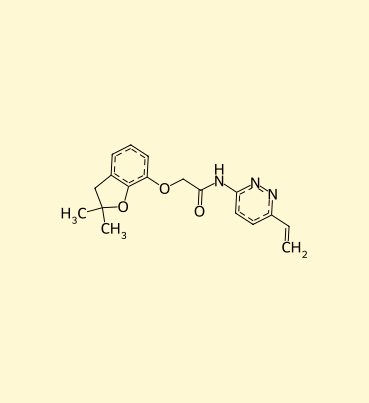 C=Cc1ccc(NC(=O)COc2cccc3c2OC(C)(C)C3)nn1